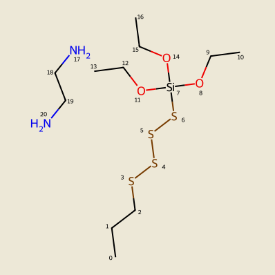 CCCSSSS[Si](OCC)(OCC)OCC.NCCN